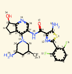 Nc1sc(-c2c(F)cccc2F)nc1C(=O)Nc1cnc2c(c1N1CC(N)CC(C(F)(F)F)C1)CCC2O